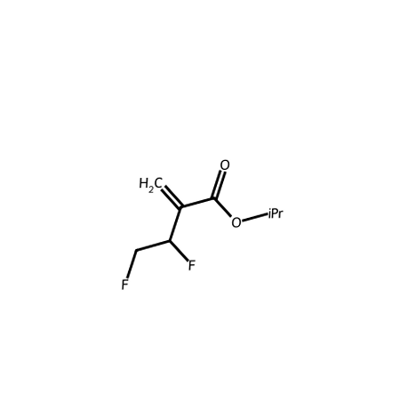 C=C(C(=O)OC(C)C)C(F)CF